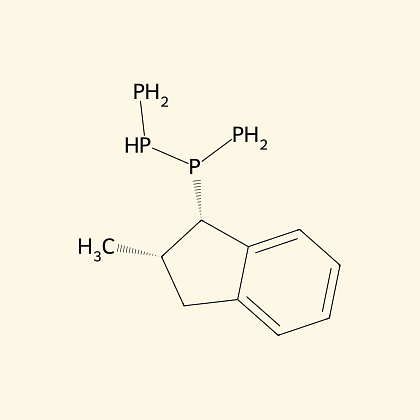 C[C@H]1Cc2ccccc2[C@H]1P(P)PP